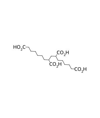 O=C(O)CCCCCCC(CC(CCCCCC(=O)O)C(=O)O)C(=O)O